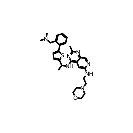 Cc1nc(NC(C)c2ccc(-c3ccccc3CN(C)C)s2)c2cc(NCCN3CCOCC3)ncc2n1